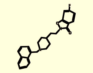 O=c1c2ccc(F)cc2on1CCC1CCN(Cc2cccc3ccccc23)CC1